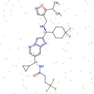 CC(C)c1oncc1CN[C@H](c1cn2ncc([C@H](NC(=O)CCC(F)(F)F)C3CC3)cc2n1)C1CCC(F)(F)CC1